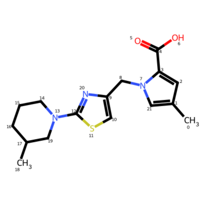 Cc1cc(C(=O)O)n(Cc2csc(N3CCCC(C)C3)n2)c1